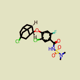 CN(C)S(=O)(=O)NC(=O)c1cc(Cl)c(O[C@@H]2C3CC4C[C@@H]2CC(Cl)(C4)C3)cc1F